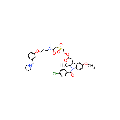 COc1ccc2c(c1)c(CC(=O)OCCS(=O)(=O)CC(=O)NCCCOc1cccc(CN3CCCC3)c1)c(C)n2C(=O)c1ccc(Cl)cc1